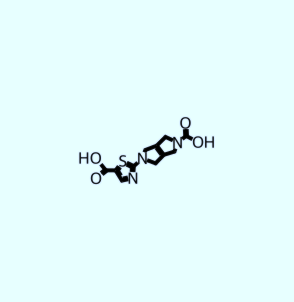 O=C(O)c1cnc(N2CC3=C(CN(C(=O)O)C3)C2)s1